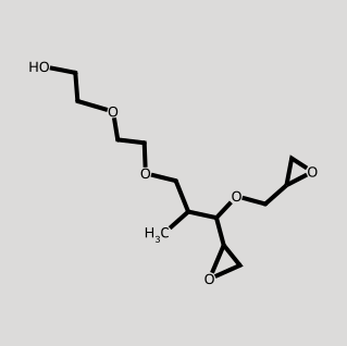 CC(COCCOCCO)C(OCC1CO1)C1CO1